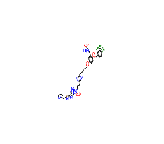 Cn1c2nc(Cc3ccccn3)sc2c2cnn(CCCc3cnc(CCCCOc4ccc(OCc5ccc(F)c(C(F)(F)F)c5)c(CNCCO)c4)cn3)c(=O)c21